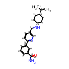 CC(C)[C@H]1CC[C@H](NCc2ccc(-c3cccc(C(N)=O)c3)nc2)CC1